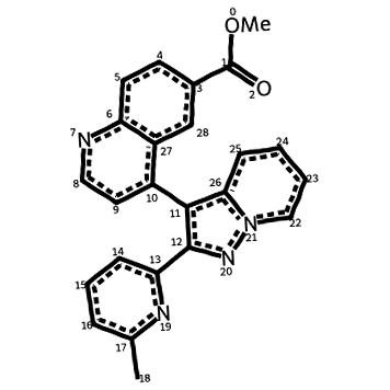 COC(=O)c1ccc2nccc(-c3c(-c4cccc(C)n4)nn4ccccc34)c2c1